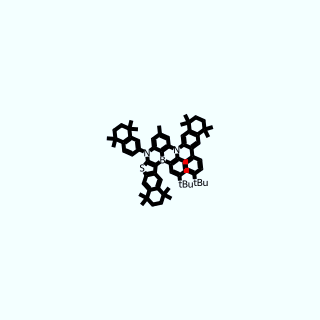 Cc1cc2c3c(c1)N(c1ccc4c(c1)C(C)(C)CCC4(C)C)c1sc4cc5c(cc4c1B3c1cc(C(C)(C)C)ccc1N2c1cc2c(cc1-c1ccc(C(C)(C)C)cc1)C(C)(C)CCC2(C)C)C(C)(C)CCC5(C)C